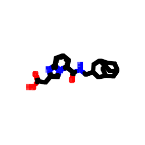 O=C(O)Cc1cn2c(C(=O)NCC3CC4CC5CC(C3)C(C4)C5)cccc2n1